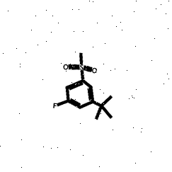 CC(C)(C)c1cc(F)cc(S(C)(=O)=O)c1